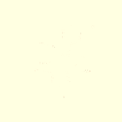 CCOC(=O)c1c(P(=O)(OC)c2cc(F)cc(C(C)C)c2)c2cc(Cl)ccc2n1S